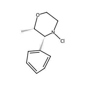 C[C@@H]1OCCN(Cl)[C@@H]1c1ccccc1